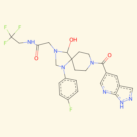 O=C(CN1CN(c2ccc(F)cc2)C2(CCN(C(=O)c3cnc4[nH]ncc4c3)CC2)C1O)NCC(F)(F)F